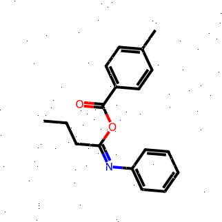 CCCC(=Nc1ccccc1)OC(=O)c1ccc(C)cc1